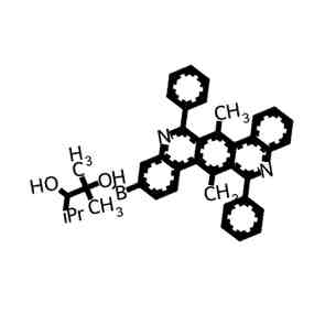 Cc1c2c(-c3ccccc3)nc3cc(BOC(C)(C)C(O)C(C)C)ccc3c2c(C)c2c(-c3ccccc3)nc3ccccc3c12